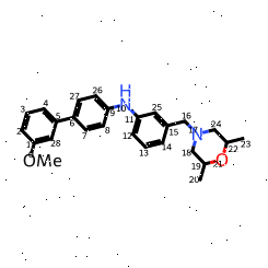 COc1cccc(-c2ccc(Nc3cccc(CN4CC(C)OC(C)C4)c3)cc2)c1